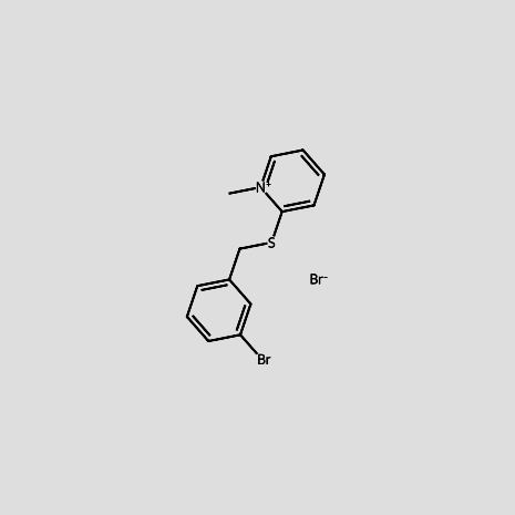 C[n+]1ccccc1SCc1cccc(Br)c1.[Br-]